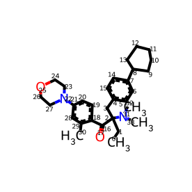 CCC(Cc1ccc(C2CCCCC2)cc1)(C(=O)c1ccc(N2CCOCC2)cc1C)N(C)C